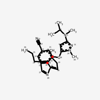 CC(C)N(C)c1cc(Oc2cc(C#N)ccc2C2=C\C[C@@H](C)/C=C(CCN)/C=N\2)n(C)n1